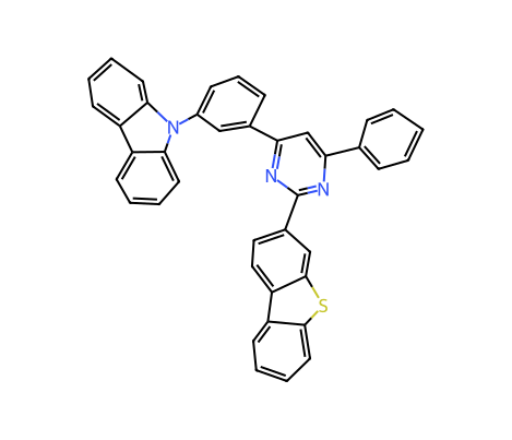 c1ccc(-c2cc(-c3cccc(-n4c5ccccc5c5ccccc54)c3)nc(-c3ccc4c(c3)sc3ccccc34)n2)cc1